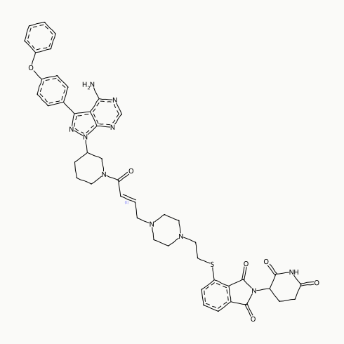 Nc1ncnc2c1c(-c1ccc(Oc3ccccc3)cc1)nn2C1CCCN(C(=O)/C=C/CN2CCN(CCSc3cccc4c3C(=O)N(C3CCC(=O)NC3=O)C4=O)CC2)C1